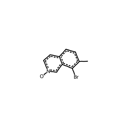 Cc1ccc2cc[n+]([O-])cc2c1Br